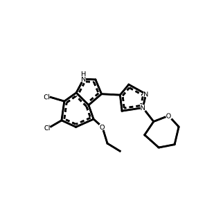 CCOc1cc(Cl)c(Cl)c2[nH]cc(-c3cnn(C4CCCCO4)c3)c12